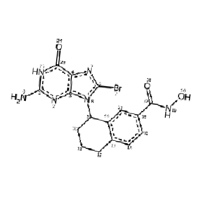 Nc1nc2c(nc(Br)n2C2CCCc3ccc(C(=O)NO)cc32)c(=O)[nH]1